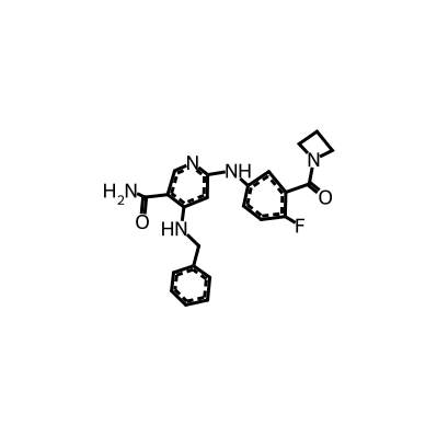 NC(=O)c1cnc(Nc2ccc(F)c(C(=O)N3CCC3)c2)cc1NCc1ccccc1